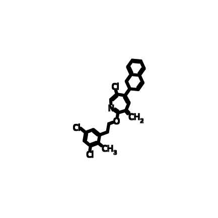 C=C1C=C(C2C=Cc3ccccc3C2)C(Cl)=CN=C1OCCc1cc(Cl)cc(Cl)c1C